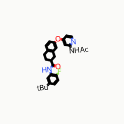 CC(=O)Nc1cc(Oc2ccc3c(c2)CC(C(=O)Nc2cc(C(C)(C)C)ccc2F)CC3)ccn1